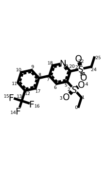 CCS(=O)(=O)c1cc(-c2cccc(C(F)(F)F)c2)cnc1S(=O)(=O)CC